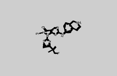 CC(C)n1c(=O)c2cnc(Nc3ccc4c(c3)CCNC4)nc2n1-c1nc(C(C)(C)CF)cs1